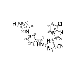 C[C@H](Nc1ncc(C#N)c(-c2cnc3c(Cl)cccn23)n1)c1cccc(N2CC[C@@H](N)C2)c1